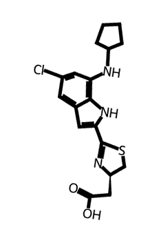 O=C(O)C[C@@H]1CSC(c2cc3cc(Cl)cc(NC4CCCC4)c3[nH]2)=N1